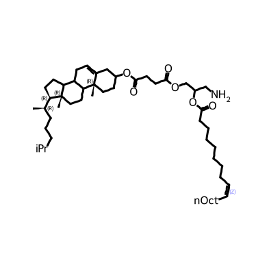 CCCCCCCC/C=C\CCCCCCCC(=O)OC(CN)COC(=O)CCC(=O)OC1CC[C@@]2(C)C(=CCC3C2CC[C@@]2(C)C3CC[C@@H]2[C@H](C)CCCC(C)C)C1